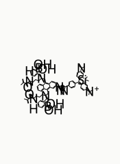 C=C(C)C(=O)NCCCN(Cc1ccccc1B(O)O)Cc1c2ccccc2c(CN(CCCNC(=O)C(=C)C)Cc2ccccc2B(O)O)c2cc(-n3cc(-c4ccc(C5=C6C=CC(=[N+](C)C)C=C6[Si](C)(C)c6cc(N(C)C)ccc65)cc4)nn3)ccc12